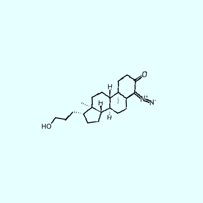 C[C@]12CC[C@H]3[C@@H](CCC4C(=[N+]=[N-])C(=O)CC[C@@]43C)[C@@H]1CC[C@@H]2CCCO